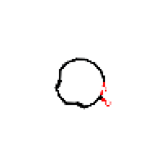 O=C1C/C=C/CC/C=C/CCCCCCCO1